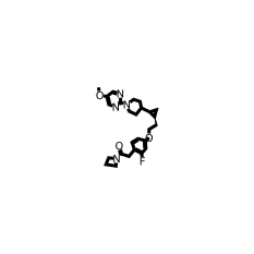 COc1cnc(N2CCC(C3C[C@H]3CCOc3ccc(CC(=O)N4CCC4)c(F)c3)CC2)nc1